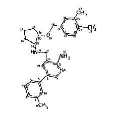 Cc1cccc(-c2cnc(N)c(CN[C@H]3CCC[C@@H]3OCc3ccc(C)c(C)c3)c2)c1